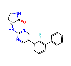 O=C1NCC[C@@H]1Nc1ncc(-c2cccc(-c3ccccc3)c2F)cn1